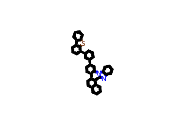 c1cc(-c2ccc3c4ccc5ccccc5c4c4nc5ccccc5n4c3c2)cc(-c2cccc3c2sc2ccccc23)c1